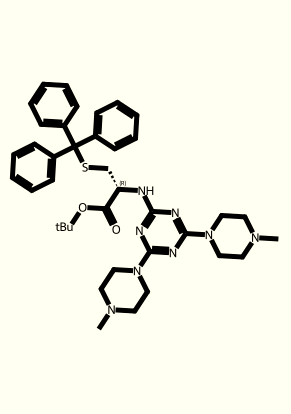 CN1CCN(c2nc(N[C@@H](CSC(c3ccccc3)(c3ccccc3)c3ccccc3)C(=O)OC(C)(C)C)nc(N3CCN(C)CC3)n2)CC1